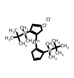 CC(C)(C)[Si](C)(C)C1=[C]([Zr+2][C]2=C([Si](C)(C)C(C)(C)C)C=CC2)CC=C1.[Cl-].[Cl-]